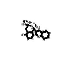 CNC1(NC)Cc2c(F)cccc2C(NC)(c2cnc3ccccc3c2)N1